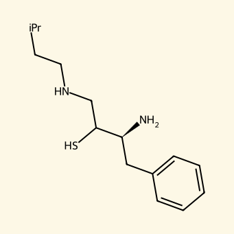 CC(C)CCNCC(S)[C@@H](N)Cc1ccccc1